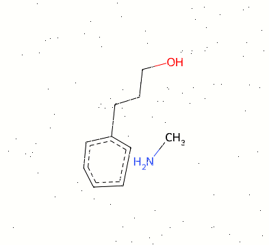 CN.OCCCc1ccccc1